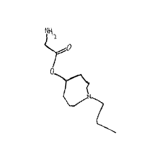 CCCN1CCC(OC(=O)CN)CC1